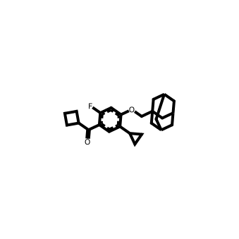 O=C(c1cc(C2CC2)c(OCC23CC4CC(CC(C4)C2)C3)cc1F)C1CCC1